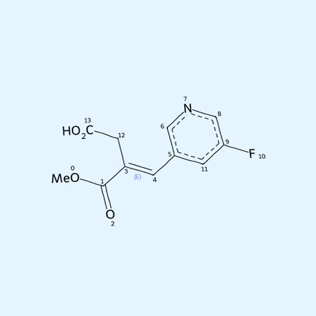 COC(=O)/C(=C/c1cncc(F)c1)CC(=O)O